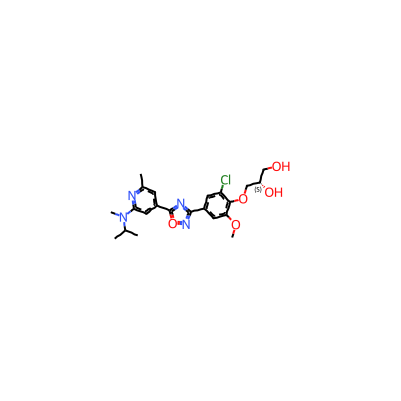 COc1cc(-c2noc(-c3cc(C)nc(N(C)C(C)C)c3)n2)cc(Cl)c1OC[C@@H](O)CO